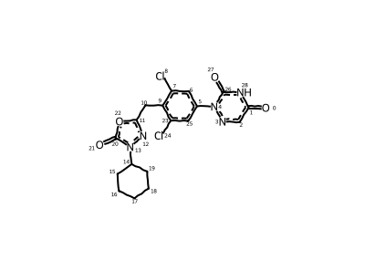 O=c1cnn(-c2cc(Cl)c(Cc3nn(C4CCCCC4)c(=O)o3)c(Cl)c2)c(=O)[nH]1